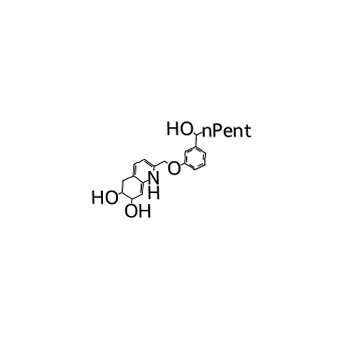 CCCCCC(O)c1cccc(OCC2=CC=C3CC(O)C(O)C=C3N2)c1